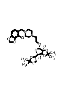 CC1(C)O[C@@H]2[C@H](O1)[C@@H](OCCN1CCN(Cc3ccc4c(c3Cl)OCO4)CC1)O[C@@H]2[C@H]1COC(C)(C)O1